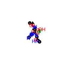 Cc1cc(CC(NC(=O)N2CCC(c3cc4ccccc4[nH]c3=O)CC2)C(=O)N2CCN(C3CCN(C)CC3)CC2)cc2cnn(COC(=O)C3(c4ccccc4)CC3)c12.O=C(O)C(F)(F)F